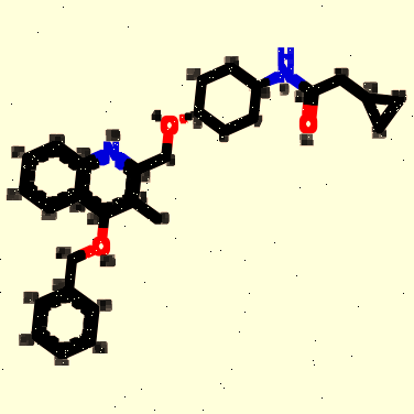 Cc1c(CO[C@H]2CC[C@H](NC(=O)CC3CC3)CC2)nc2ccccc2c1OCc1ccccc1